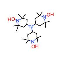 CC1(C)CC(N(C2CC(C)(C)N(O)C(C)(C)C2)C2CC(C)(C)N(O)C(C)(C)C2)CC(C)(C)N1O